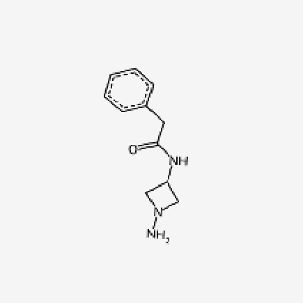 NN1CC(NC(=O)Cc2ccccc2)C1